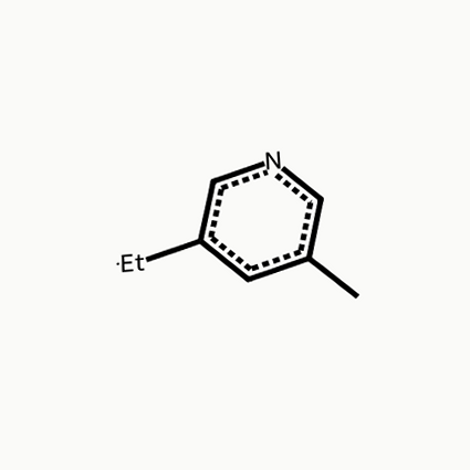 C[CH]c1cncc(C)c1